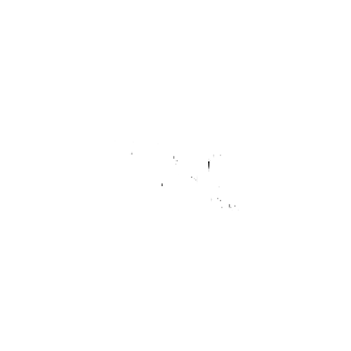 CO[C@@H]1C[C@H](C(=O)O)N(C(=O)Nc2ccc(Cl)cc2)C1